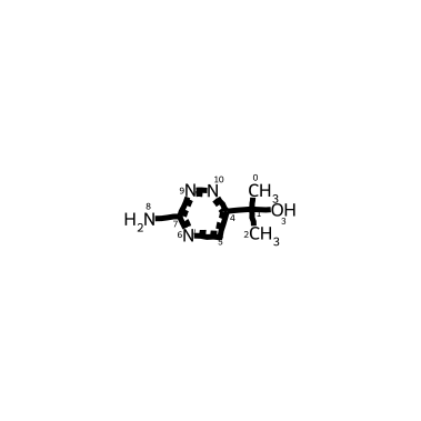 CC(C)(O)c1cnc(N)nn1